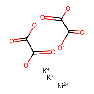 O=C([O-])C(=O)[O-].O=C([O-])C(=O)[O-].[K+].[K+].[Ni+2]